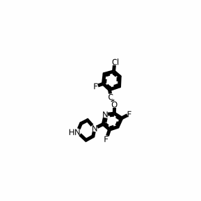 Fc1cc(Cl)ccc1COc1nc(N2CCNCC2)c(F)cc1F